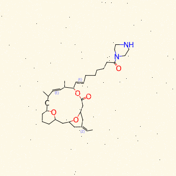 C/C=C1\CC2CC(=O)OC(/C=C/CCCCCC(=O)N3CCNCC3)C(C)/C=C/C(C)CC3CCCC(CC(C1)O2)O3